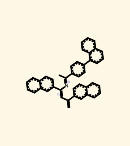 C=C(/C=C(\N=C(/C)c1ccc(-c2cccc3ccccc23)cc1)c1ccc2ccccc2c1)c1ccc2ccccc2c1